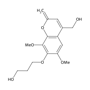 C=C1C=C(CO)c2cc(OC)c(OCCCO)c(OC)c2O1